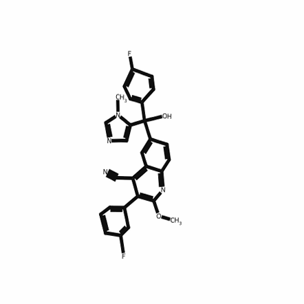 COc1nc2ccc(C(O)(c3ccc(F)cc3)c3cncn3C)cc2c(C#N)c1-c1cccc(F)c1